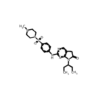 CCC(CC)N1C(=O)Cc2cnc(Nc3ccc(S(=O)(=O)N4CCN(C)CC4)cc3)nc21